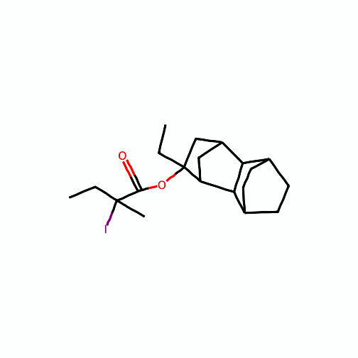 CCC(C)(I)C(=O)OC1(CC)CC2CC1C1C3CCC(CC3)C21